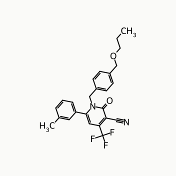 CCCOCc1ccc(Cn2c(-c3cccc(C)c3)cc(C(F)(F)F)c(C#N)c2=O)cc1